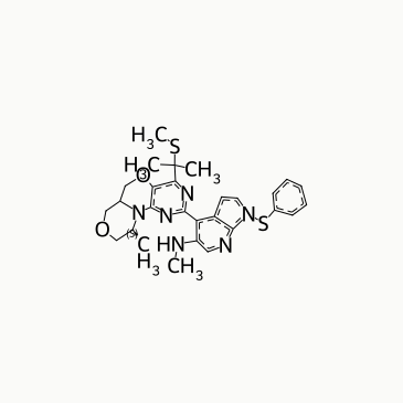 CNc1cnc2c(ccn2Sc2ccccc2)c1-c1nc2c(c(C(C)(C)SC)n1)OCC1COC[C@H](C)N21